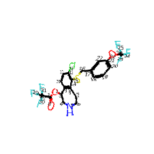 O=C(OC1CNCCc2c1ccc(Cl)c2SCc1cccc(OC(F)(F)F)c1)C(F)(F)F